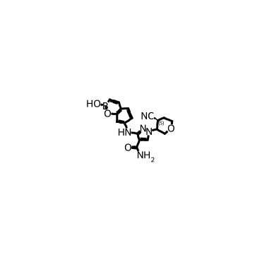 N#C[C@H]1CCOCC1n1cc(C(N)=O)c(Nc2ccc3c(c2)OB(O)C=C3)n1